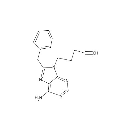 C#CCCCn1c(Cc2ccccc2)nc2c(N)ncnc21